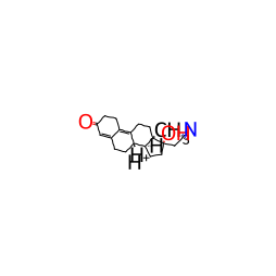 C[C@]12CCC3=C4CCC(=O)C=C4CC[C@H]3[C@@H]1CC[C@@]2(O)CC#N.[H+]